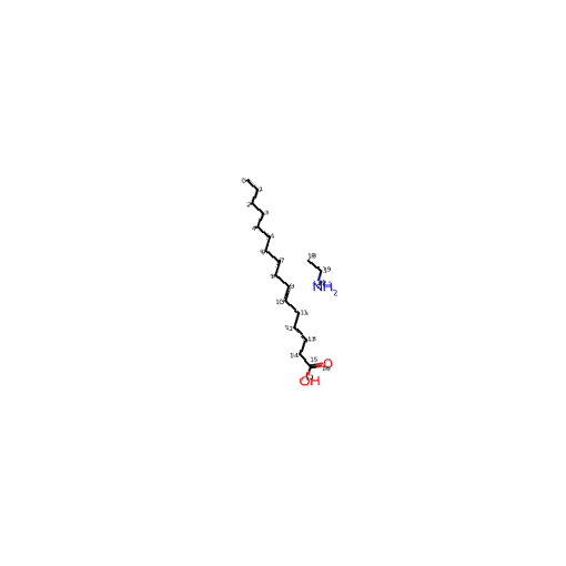 CCCCCCCCCCCCCCCC(=O)O.CCN